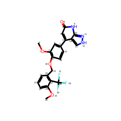 COc1cc(-c2cc(=O)[nH]c3n[nH]cc23)ccc1OCc1cccc(OC)c1C(F)(F)F